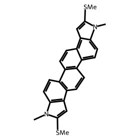 CSc1cc2c3ccc4c(ccc5c4ccc4c5cc(SC)n4C)c3ccc2n1C